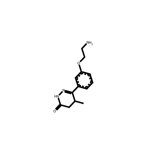 CC1CC(=O)NN=C1c1cccc(OCCN)c1